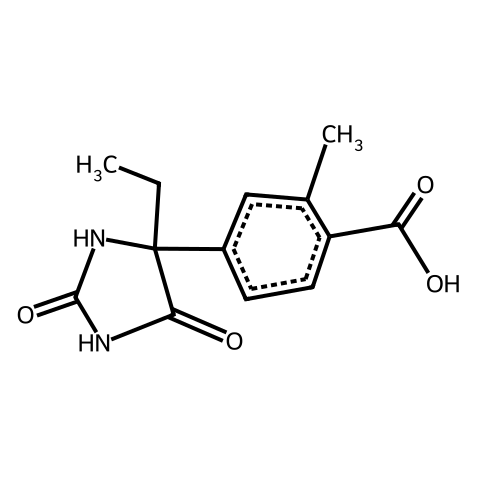 CCC1(c2ccc(C(=O)O)c(C)c2)NC(=O)NC1=O